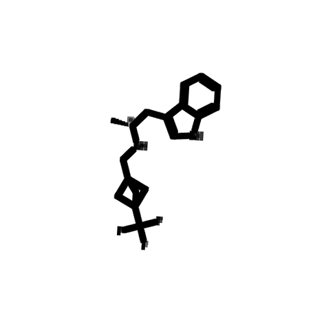 C[C@H](Cc1c[nH]c2ccccc12)NCC12CC(C(F)(F)F)(C1)C2